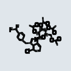 CC(=O)OC[C@H]1O[C@@H](n2cc(Cc3ccc(C(F)F)cc3)c3c(Cl)cccc32)[C@H](OC(C)=O)[C@@H](OC(C)=O)[C@@H]1OC(C)=O